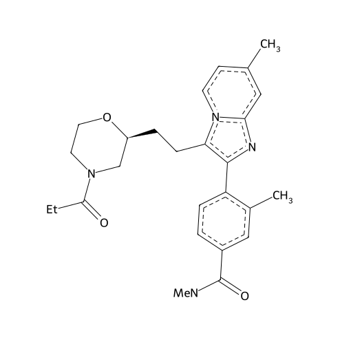 CCC(=O)N1CCO[C@@H](CCc2c(-c3ccc(C(=O)NC)cc3C)nc3cc(C)ccn23)C1